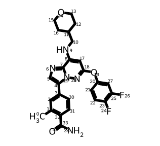 Cc1cc(-c2cnc3c(NCC4CCOCC4)cc(Oc4ccc(F)c(F)c4)nn23)ccc1C(N)=O